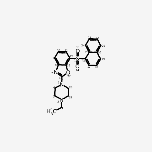 CCN1CCN(c2nc3cccc(S(=O)(=O)c4cccc5ccccc45)c3o2)CC1